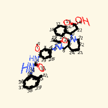 COc1cc(N(CC2=CN(C(CC(=O)O)c3ccccc3)C=CC=C2)C(C)=O)ccc1NC(=O)Nc1ccccc1C